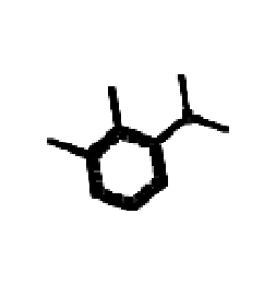 CB(C)c1cccc(C)c1C